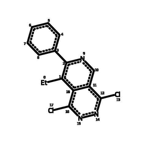 CCc1c(-c2ccccc2)ncc2c(Cl)nnc(Cl)c12